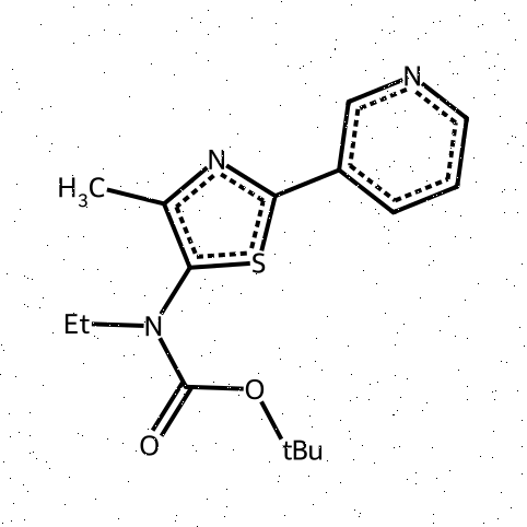 CCN(C(=O)OC(C)(C)C)c1sc(-c2cccnc2)nc1C